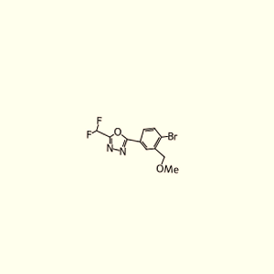 COCc1cc(-c2nnc(C(F)F)o2)ccc1Br